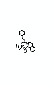 NC(=O)C1c2ccccc2CCN1C(=O)[CH]Cc1ccccc1